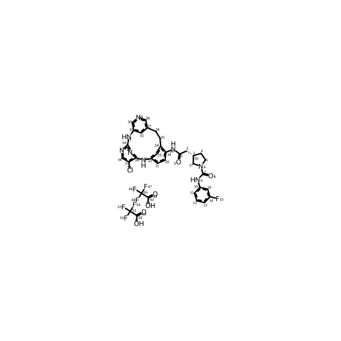 O=C(C[C@@H]1CCN(C(=O)Nc2cccc(F)c2)C1)Nc1ccc2cc1CCc1cncc(c1)Nc1ncc(Cl)c(n1)N2.O=C(O)C(F)(F)F.O=C(O)C(F)(F)F